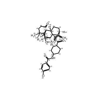 C=C1C(=O)[C@]23[C@H](OC(=O)C4CCC(NC(=O)c5ccc(Cl)cc5)CC4)[C@H]1CC[C@H]2[C@@]12CO[C@@]3(O)[C@@H](O)[C@@H]1C(C)(C)CCC2=O